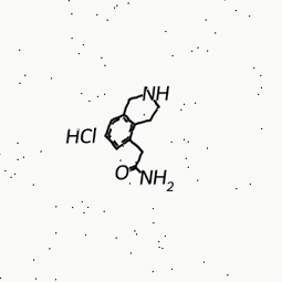 Cl.NC(=O)Cc1cccc2c1CCNC2